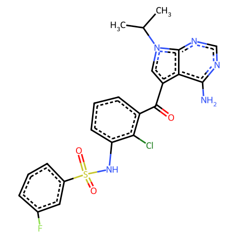 CC(C)n1cc(C(=O)c2cccc(NS(=O)(=O)c3cccc(F)c3)c2Cl)c2c(N)ncnc21